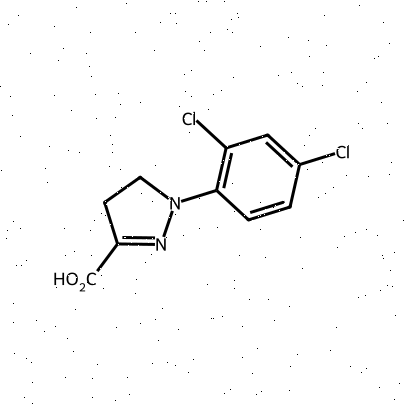 O=C(O)C1=NN(c2ccc(Cl)cc2Cl)CC1